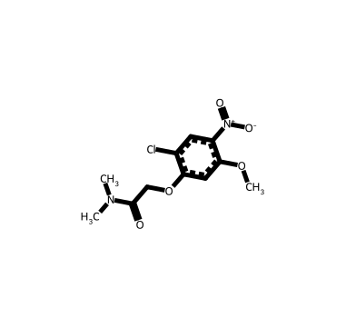 COc1cc(OCC(=O)N(C)C)c(Cl)cc1[N+](=O)[O-]